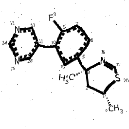 C[C@@H]1C[C@@](C)(c2ccc(F)c(-c3cncnc3)c2)N=CS1